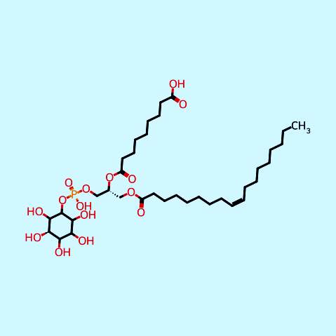 CCCCCCCC/C=C\CCCCCCCC(=O)OC[C@H](COP(=O)(O)OC1C(O)C(O)C(O)[C@@H](O)C1O)OC(=O)CCCCCCCC(=O)O